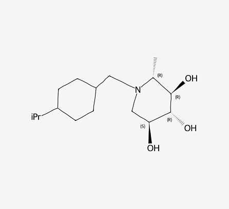 CC(C)C1CCC(CN2C[C@H](O)[C@@H](O)[C@H](O)[C@H]2C)CC1